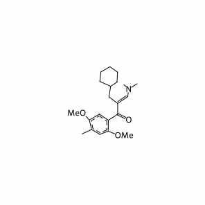 COc1cc(C(=O)/C(=C/N(C)C)CC2CCCCC2)c(OC)cc1C